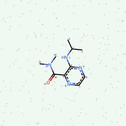 CC(C)Nc1nccnc1C(=O)N(C)C